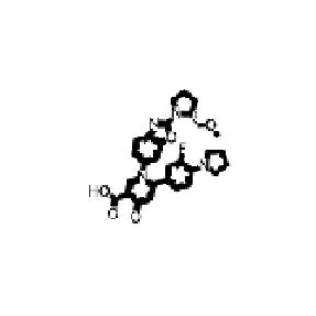 COC[C@H]1CCCN1c1nc2ccc(-n3cc(C(=O)O)c(=O)cc3-c3ccc(N4CCCC4)c(F)c3)cc2o1